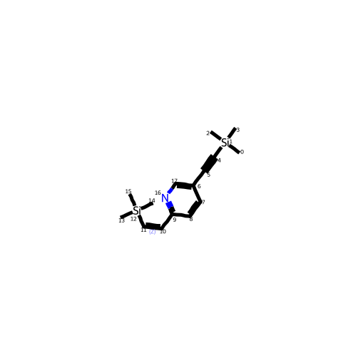 C[Si](C)(C)C#Cc1ccc(/C=C\[Si](C)(C)C)nc1